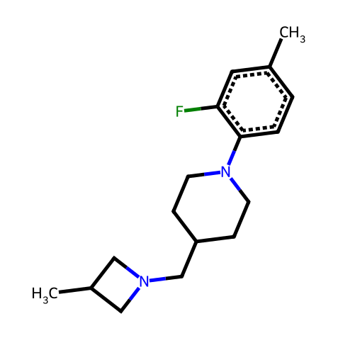 Cc1ccc(N2CCC(CN3CC(C)C3)CC2)c(F)c1